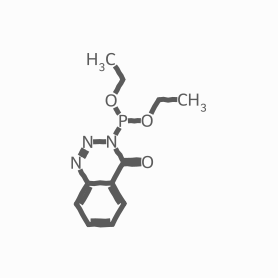 CCOP(OCC)n1nnc2ccccc2c1=O